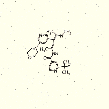 C=N/C(C)=C(\C=C(/C)NC(=O)c1ccnc(C(C)(C)F)c1)c1cncc(N2CCOCC2)c1